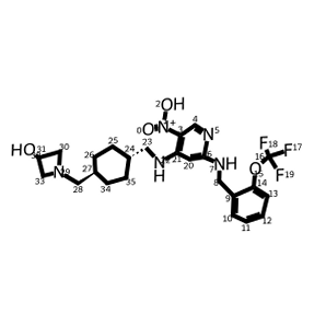 O=[N+](O)c1cnc(NCc2ccccc2OC(F)(F)F)cc1NC[C@H]1CC[C@H](CN2CC(O)C2)CC1